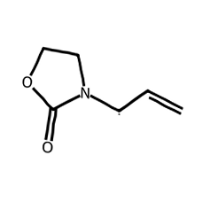 C=C[CH]N1CCOC1=O